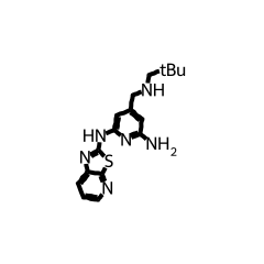 CC(C)(C)CNCc1cc(N)nc(Nc2nc3cccnc3s2)c1